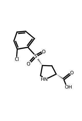 O=C(O)[C@H]1C[C@@H](S(=O)(=O)c2ccccc2Cl)CN1